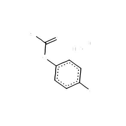 CC(=O)C(=O)Oc1ccc(O)cc1.O.[Ti]